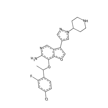 CC(Oc1c(N)ncc2c(-c3cnn(C4CCNCC4)c3)coc12)c1ccc(Cl)cc1F